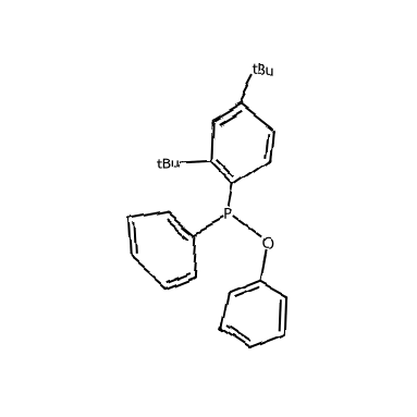 CC(C)(C)c1ccc(P(Oc2ccccc2)c2ccccc2)c(C(C)(C)C)c1